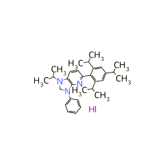 CC(C)c1cc(C(C)C)c(-c2ccc3c(n2)N(c2ccccc2)CN3C(C)C)c(C(C)C)c1.I